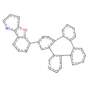 c1ccc2c(c1)-c1ccccc1-c1ccc(-c3cccc4c3oc3cccnc34)cc1-c1ccccc1-2